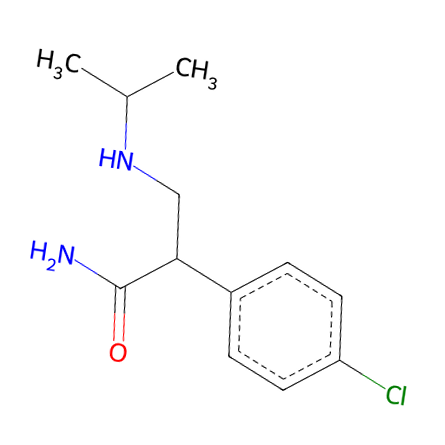 CC(C)NCC(C(N)=O)c1ccc(Cl)cc1